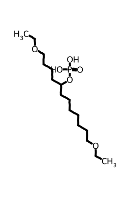 CCOCCCCCCCC(CCCCOCC)OP(=O)(O)O